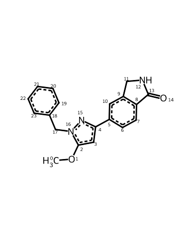 COc1cc(-c2ccc3c(c2)CNC3=O)nn1Cc1ccccc1